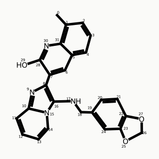 Cc1cccc2cc(-c3nc4ccccn4c3NCc3ccc4c(c3)OCO4)c(O)nc12